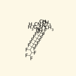 CN(C)[Si](C(F)C(F)(F)C(F)(F)C(F)(F)C(F)(F)C(F)(F)C(F)(F)C(F)C(F)C(F)F)(N(C)C)N(C)C